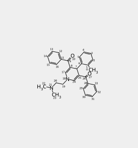 Cc1ccccc1C1C(C(=O)c2ccccc2)=CN(CCN(C)C)C=C1C(=O)c1ccccc1